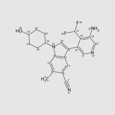 Cc1cc2c(cc1C#N)c(-c1cncc(N)c1C(F)F)cn2C1CCC(O)CC1